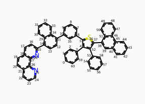 c1ccc(-c2c(-c3cccc(-c4ccc(-c5ccc6ccc7cccnc7c6n5)c5ccccc45)c3)sc(-c3cc4ccccc4c4ccccc34)c2-c2ccccc2)cc1